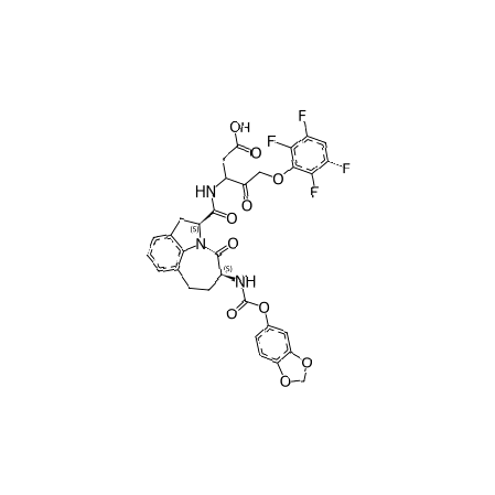 O=C(O)CC(NC(=O)[C@@H]1Cc2cccc3c2N1C(=O)[C@@H](NC(=O)Oc1ccc2c(c1)OCO2)CC3)C(=O)COc1c(F)c(F)cc(F)c1F